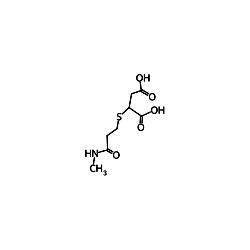 CNC(=O)CCSC(CC(=O)O)C(=O)O